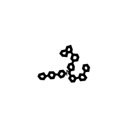 c1ccc(-c2ccc(-c3ccc(N(c4ccc(-c5cccc(-c6cccc7ccccc67)c5)cc4)c4cccc(-c5cccc(-c6ccccc6)c5)c4)cc3)cc2)cc1